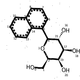 OC[C@H]1OC(c2[c]ccc3ccccc23)[C@H](O)[C@@H](O)[C@H]1O